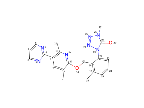 Cc1cc(-c2ncccn2)c(C)nc1OCc1c(C)cccc1-n1nnn(C)c1=O